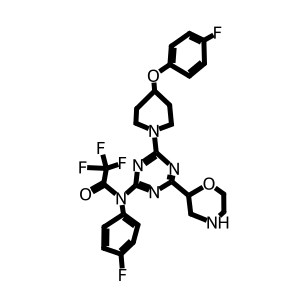 O=C(N(c1ccc(F)cc1)c1nc(C2CNCCO2)nc(N2CCC(Oc3ccc(F)cc3)CC2)n1)C(F)(F)F